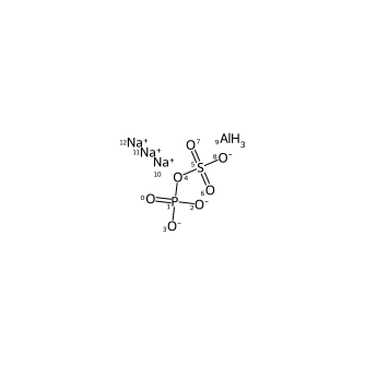 O=P([O-])([O-])OS(=O)(=O)[O-].[AlH3].[Na+].[Na+].[Na+]